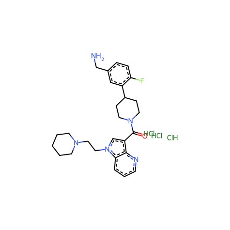 Cl.Cl.Cl.NCc1ccc(F)c(C2CCN(C(=O)c3cn(CCN4CCCCC4)c4cccnc34)CC2)c1